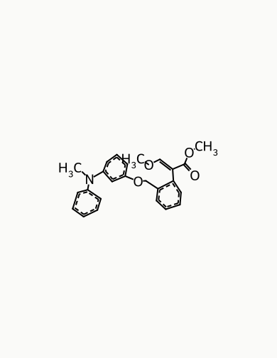 CO/C=C(/C(=O)OC)c1ccccc1COc1cccc(N(C)c2ccccc2)c1